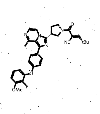 COc1cccc(Oc2ccc(-c3nc([C@@H]4CCN(C(=O)/C(C#N)=C/C(C)(C)C)C4)n4ccnc(C)c34)cc2)c1F